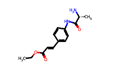 CCOC(=O)/C=C/c1ccc(NC(=O)[C@@H](C)N)cc1